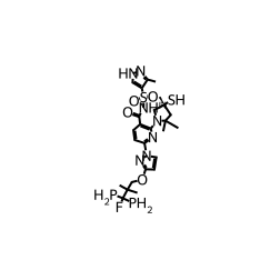 Cc1n[nH]cc1S(=O)(=O)NC(=O)c1ccc(-n2ccc(OCC(C)(C)C(F)(P)P)n2)nc1N1C[C@](C)(S)CC1(C)C